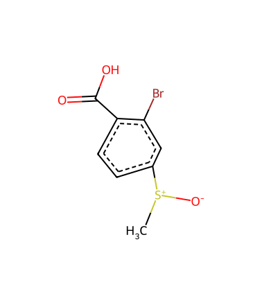 C[S+]([O-])c1ccc(C(=O)O)c(Br)c1